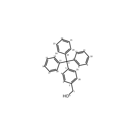 OCc1ccc(C(c2ccccc2)(c2ccccc2)c2ccccc2)cc1